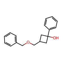 OC1(c2ccccc2)CC(COCc2ccccc2)C1